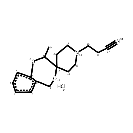 CC1Oc2ccccc2COC12CCN(CCC#N)CC2.Cl